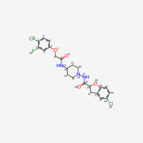 O=C(COc1ccc(Cl)c(F)c1)NC1CCN(NC(=O)C2Cc3cc(Cl)ccc3O2)CC1